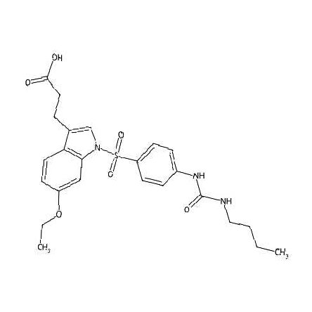 CCCCNC(=O)Nc1ccc(S(=O)(=O)n2cc(CCC(=O)O)c3ccc(OCC)cc32)cc1